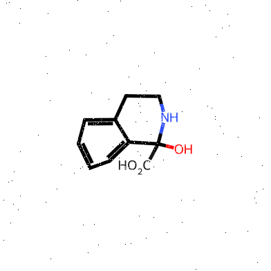 O=C(O)C1(O)NCCc2ccccc21